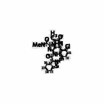 CNC(=O)c1nc(NC(=O)c2nsc3ccccc23)c2n1C(C)C(=O)NC2c1cc(F)ccc1Cl